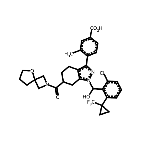 Cc1cc(C(=O)O)ccc1-c1nn(C(O)c2c(Cl)cccc2C2(C(F)(F)F)CC2)c2c1CCC(C(=O)N1CC3(CCCO3)C1)C2